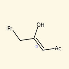 CC(=O)/C=C(\O)CC(C)C